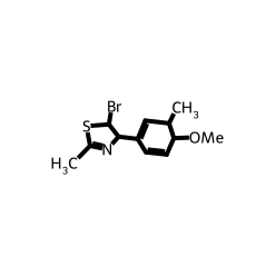 COC1C=CC(C2N=C(C)SC2Br)=CC1C